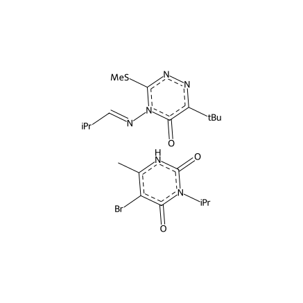 CSc1nnc(C(C)(C)C)c(=O)n1/N=C/C(C)C.Cc1[nH]c(=O)n(C(C)C)c(=O)c1Br